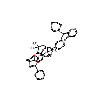 CC1(C)CCC(C)(C)c2cc(C3=C\C=C\C(c4ccc(-c5ccc6c7ccccc7n(-c7ccccc7)c6c5)cc4)=N/C(c4ccccc4)=N\3)ccc21